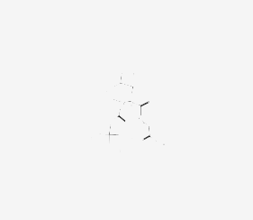 CC(C)C[C@@H](C(=O)NCC(=O)O)N(O)C(=O)OC(C)(C)C